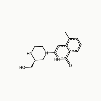 Cc1cccc2c(=O)[nH]c(N3CCN[C@H](CO)C3)cc12